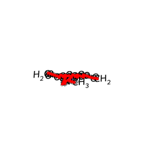 C=CC(=O)OCCCCCCOc1ccc(OC(=O)C2CCC(C(=O)Oc3ccc(OC(=O)C4CCC(C(=O)Oc5ccc(OCCCCCCOC(=O)C=C)cc5)CC4)c(/C=N/N(CCCCCC)c4nc5c(ccc6ccccc65)s4)c3)CC2)cc1